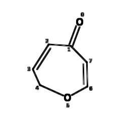 O=C1C=CCOC=C1